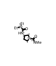 CCN(CC)C(=O)N[C@H]1CCN(C(=O)NC)C1